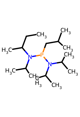 CCC(C)N(C(C)C)P(CC(C)C)N(C(C)C)C(C)C